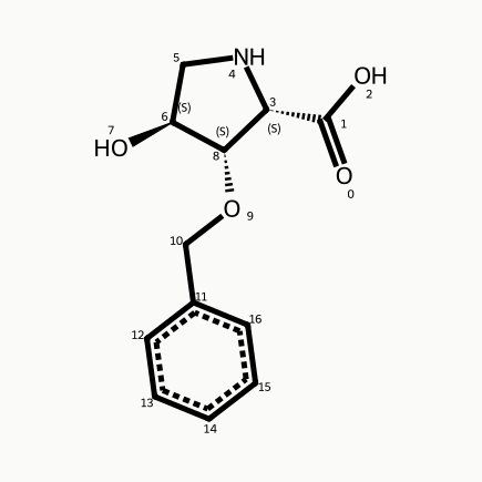 O=C(O)[C@H]1NC[C@H](O)[C@H]1OCc1ccccc1